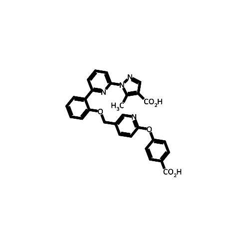 Cc1c(C(=O)O)cnn1-c1cccc(-c2ccccc2OCc2ccc(Oc3ccc(C(=O)O)cc3)nc2)n1